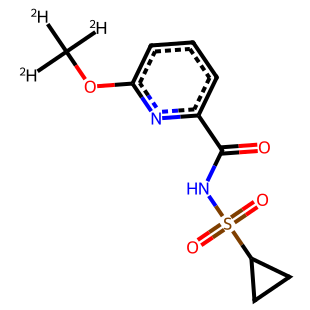 [2H]C([2H])([2H])Oc1cccc(C(=O)NS(=O)(=O)C2CC2)n1